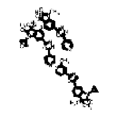 CC1(C)C(=O)N(C2COC2)c2cc(-c3nnc(-c4ccncc4)o3)ccc21.CN1C(=O)C(C)(C)c2ccc(-c3nnc(-c4ccncc4)o3)cc21.Cc1cc(-c2ncc(-c3ccc4c(c3)N(C3CC3)C(=O)C4(C)C)o2)ccn1